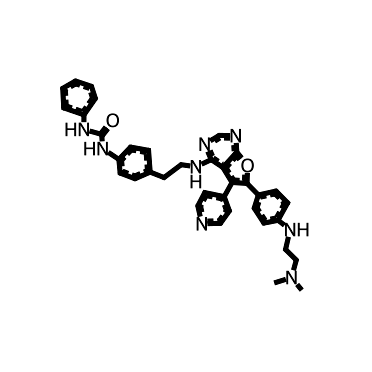 CN(C)CCNc1ccc(-c2oc3ncnc(NCCc4ccc(NC(=O)Nc5ccccc5)cc4)c3c2-c2ccncc2)cc1